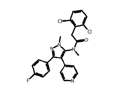 CN(C(=O)Cc1c(Cl)cccc1Cl)c1c(-c2ccncc2)c(-c2ccc(F)cc2)nn1C